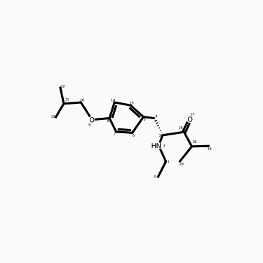 CCN[C@H](Cc1ccc(OCC(C)C)cc1)C(=O)C(C)C